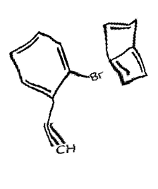 C#Cc1ccccc1Br.c1cc2ccc1-2